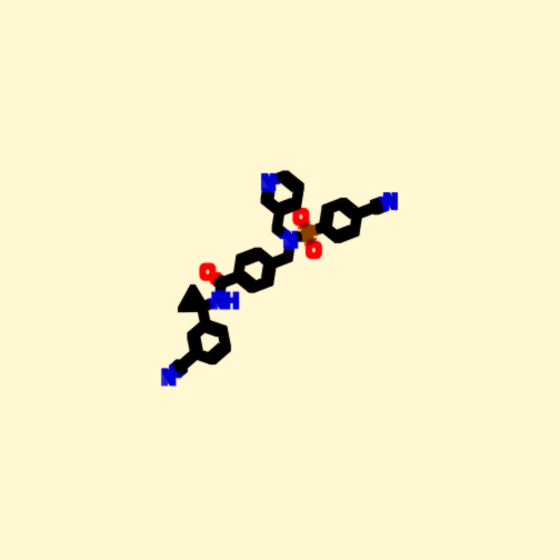 N#Cc1ccc(S(=O)(=O)N(Cc2ccc(C(=O)NC3(c4cccc(C#N)c4)CC3)cc2)Cc2cccnc2)cc1